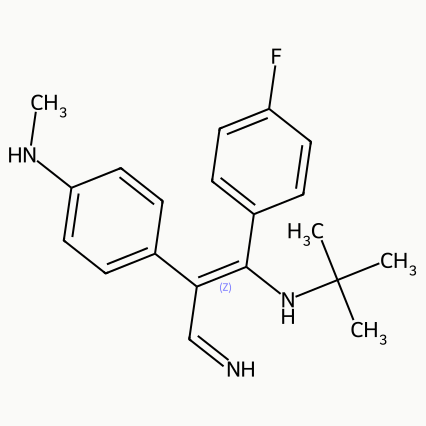 CNc1ccc(/C(C=N)=C(/NC(C)(C)C)c2ccc(F)cc2)cc1